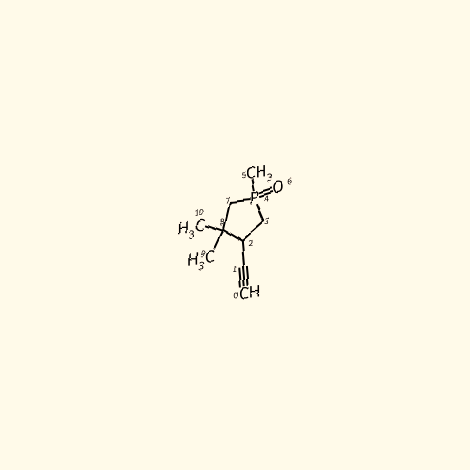 C#CC1CP(C)(=O)CC1(C)C